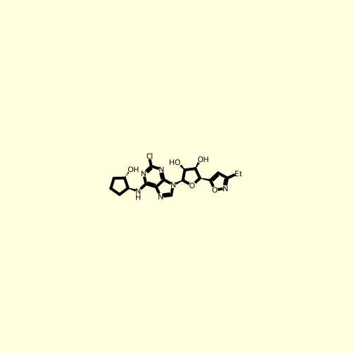 CCc1cc([C@H]2O[C@@H](n3cnc4c(N[C@H]5CCC[C@@H]5O)nc(Cl)nc43)[C@@H](O)[C@H]2O)on1